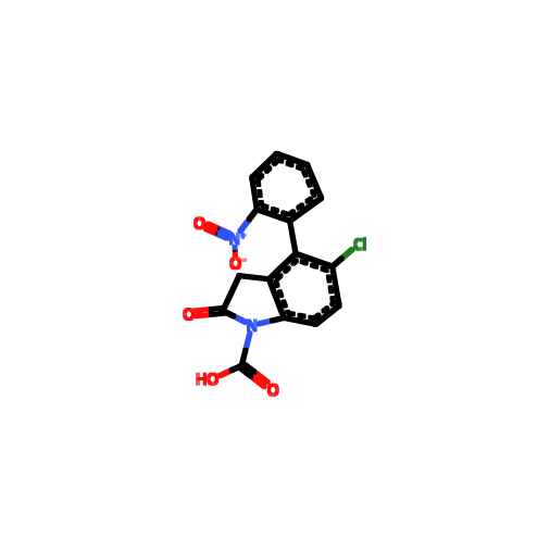 O=C(O)N1C(=O)Cc2c1ccc(Cl)c2-c1ccccc1[N+](=O)[O-]